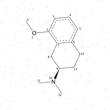 COc1cccc2c1C[C@H](N(C)C)CC2